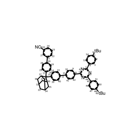 CC(C)(C)c1ccc(-c2nc(-c3ccc(-c4ccc(C5(c6ccc(-c7cccc(C#N)c7)cc6)C6CC7CC(C6)CC5C7)cc4)cc3)nc(-c3ccc(C(C)(C)C)cc3)n2)cc1